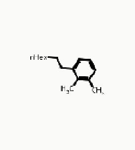 CCCCCCC[CH]c1cccc(C)c1C